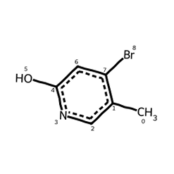 Cc1cnc(O)cc1Br